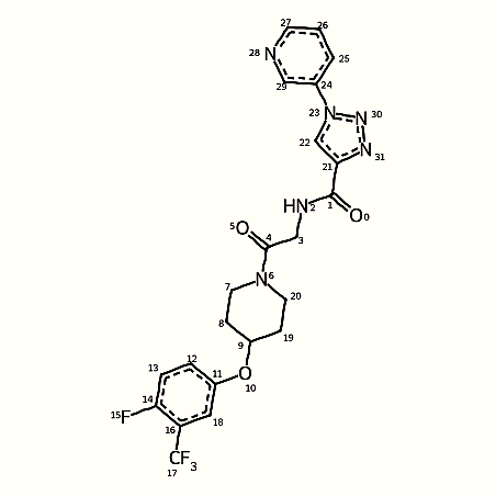 O=C(NCC(=O)N1CCC(Oc2ccc(F)c(C(F)(F)F)c2)CC1)c1cn(-c2cccnc2)nn1